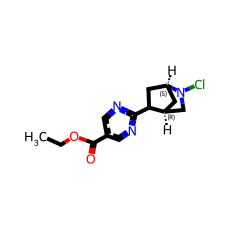 CCOC(=O)c1cnc(C2C[C@@H]3C[C@H]2CN3Cl)nc1